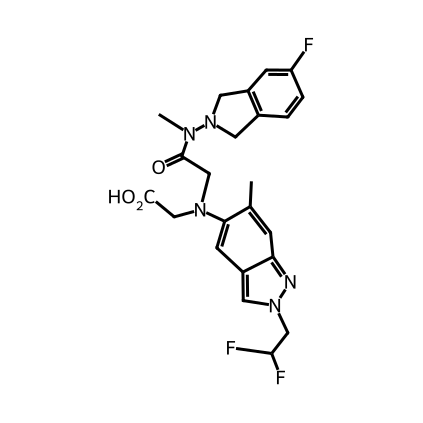 Cc1cc2nn(CC(F)F)cc2cc1N(CC(=O)O)CC(=O)N(C)N1Cc2ccc(F)cc2C1